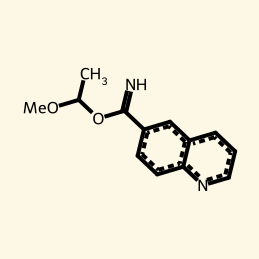 COC(C)OC(=N)c1ccc2ncccc2c1